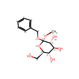 CO[C@@]1(OCc2ccccc2)O[C@H](CO)[C@@H](O)[C@H](O)[C@H]1O